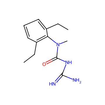 CCc1cccc(CC)c1N(C)C(=O)NC(=N)N